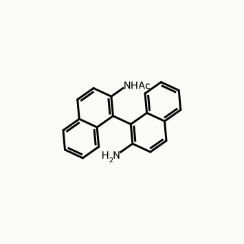 CC(=O)Nc1ccc2ccccc2c1-c1c(N)ccc2ccccc12